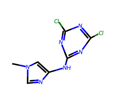 Cn1cnc(Nc2nc(Cl)nc(Cl)n2)c1